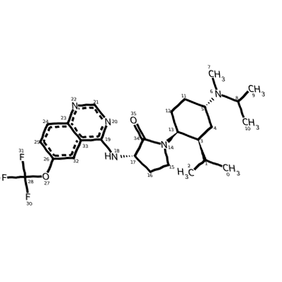 CC(C)[C@@H]1C[C@@H](N(C)C(C)C)CC[C@@H]1N1CC[C@H](Nc2ncnc3ccc(OC(F)(F)F)cc23)C1=O